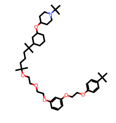 CC(C)(CCCC(C)(C)C1CCCC(OC2CCN(C(C)(C)C)CC2)C1)OCCOCCOc1cccc(OCCOc2ccc(C(C)(C)C)cc2)c1